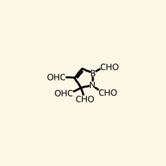 O=CB1C=C(C=O)C(C=O)(C=O)N1C=O